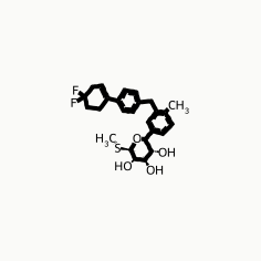 CS[C@H]1OC(c2ccc(C)c(Cc3ccc(C4=CCC(F)(F)CC4)cc3)c2)[C@H](O)[C@@H](O)[C@@H]1O